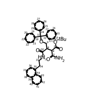 CC(C)(C)OC(=O)C(C(N)=O)C(COC(c1ccccc1)(c1ccccc1)c1ccccc1)C(=O)NCCc1cccc2ccccc12